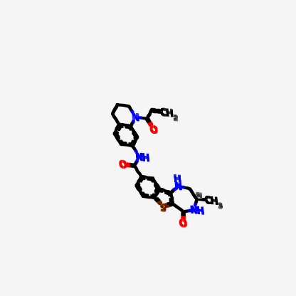 C=CC(=O)N1CCCc2ccc(NC(=O)c3ccc4sc5c(c4c3)NC[C@@H](C)NC5=O)cc21